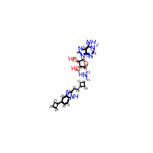 Nc1ncnc2c1ncn2[C@@H]1O[C@H](CNC[C@H]2C[C@H](CCc3nc4cc(C5CCC5)ccc4[nH]3)C2)[C@@H](O)[C@H]1O